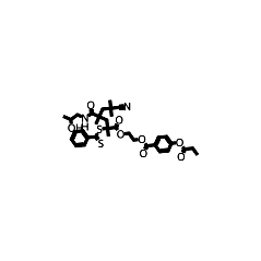 CCC(=O)Oc1ccc(C(=O)OCCOC(=O)C(C)(CC(C)(CC(C)(C)C#N)C(=O)NCC(C)O)SC(=S)c2ccccc2)cc1